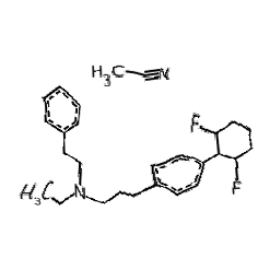 CC#N.CCN(CCCc1ccc(C2C(F)CCCC2F)cc1)CCc1ccccc1